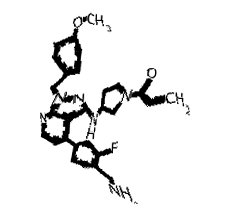 C=CC(=O)N1CCC(Nc2nn(Cc3ccc(OC)cc3)c3nccc(-c4ccc(CN)c(F)c4)c23)C1